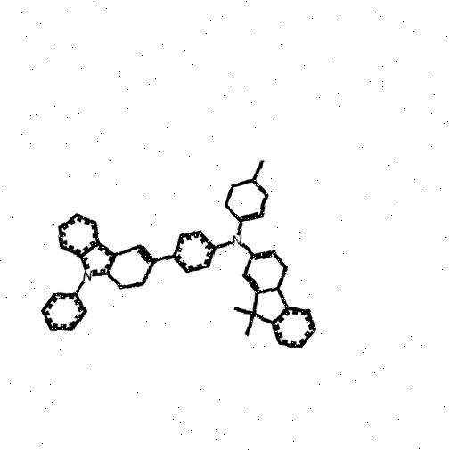 CC1CC=C(N(C2=CCC3C(=C2)C(C)(C)c2ccccc23)c2ccc(C3=Cc4c(n(-c5ccccc5)c5ccccc45)CC3)cc2)CC1